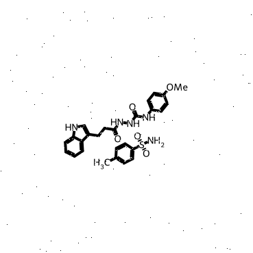 COc1ccc(NC(=O)NNC(=O)CCc2c[nH]c3ccccc23)cc1.Cc1ccc(S(N)(=O)=O)cc1